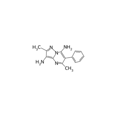 Cc1nc2c(N)c(C)nn2c(N)c1-c1ccccc1